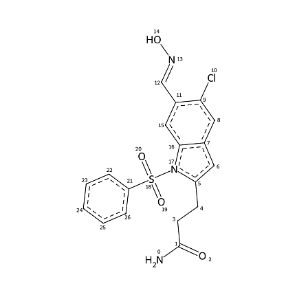 NC(=O)CCc1cc2cc(Cl)c(C=NO)cc2n1S(=O)(=O)c1ccccc1